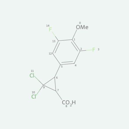 COc1c(F)cc(C2C(C(=O)O)C2(Cl)Cl)cc1F